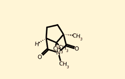 CN1C(=O)[C@H]2CC[C@@](C)(C1=O)C2(C)C